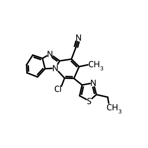 CCc1nc(-c2c(C)c(C#N)c3nc4ccccc4n3c2Cl)cs1